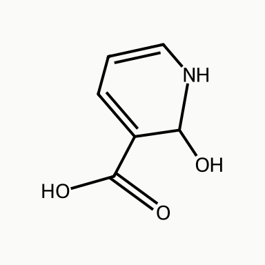 O=C(O)C1=CC=CNC1O